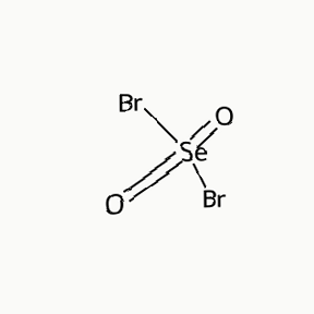 O=[Se](=O)(Br)Br